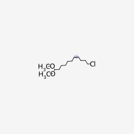 COC(CCCCC/C=C\CCCCl)OC